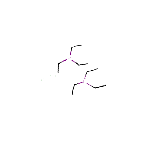 CCP(CC)CC.CCP(CC)CC.Cl.Cl